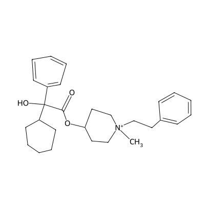 C[N+]1(CCc2ccccc2)CCC(OC(=O)C(O)(c2ccccc2)C2CCCCC2)CC1